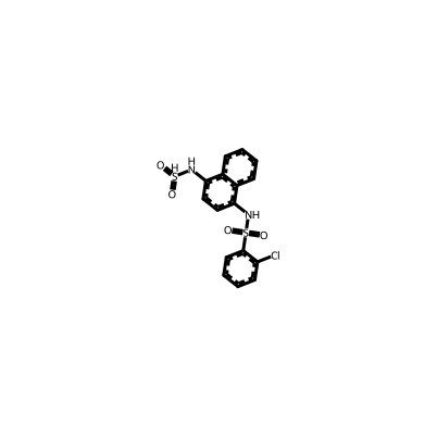 O=[SH](=O)Nc1ccc(NS(=O)(=O)c2ccccc2Cl)c2ccccc12